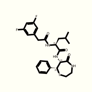 CC(C)C[C@H](NC(=O)Cc1cc(F)cc(F)c1)C(=O)N[C@@H]1C(=O)NCCS[C@@H]1c1ccccc1